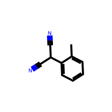 Cc1ccccc1C(C#N)C#N